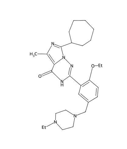 CCOc1ccc(CN2CCN(CC)CC2)cc1-c1nn2c(C3CCCCCC3)nc(C)c2c(=O)[nH]1